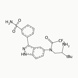 CC(C)(C)C(N)CN(C(=O)C(F)(F)F)c1ccc2[nH]nc(-c3cccc(S(N)(=O)=O)c3)c2c1